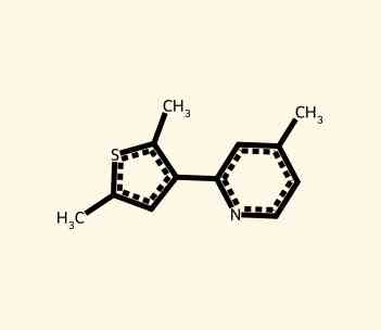 Cc1ccnc(-c2cc(C)sc2C)c1